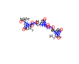 CNC(=O)c1cccc(-c2ccc3c(N4CCOC[C@@H]4C)nc(N4CCO[C@@]5(COC(CNC(=O)c6cccc(-c7ccc8c(N9CCOC[C@@H]9C)nc(N9CCCC%10(C9)OCC(CNC(=O)c9cccc(-c%11ccc%12c(N%13CCOC[C@@H]%13C)nc(N%13CC%14(CCC%14)OC[C@@H]%13C)nc%12n%11)c9)O%10)nc8n7)c6)C5)C4)nc3n2)c1